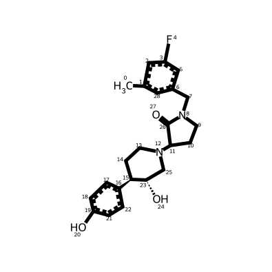 Cc1cc(F)cc(CN2CCC(N3CC[C@H](c4ccc(O)cc4)[C@@H](O)C3)C2=O)c1